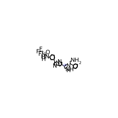 N=C/C(=C\NC(CN)c1ccccc1)c1cnn2c(-c3cccc(NC(=O)NCC(F)(F)F)c3)cnc2c1